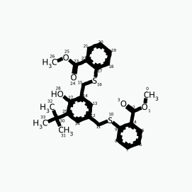 COC(=O)c1ccccc1SCc1cc(CSc2ccccc2C(=O)OC)c(O)c(C(C)(C)C)c1